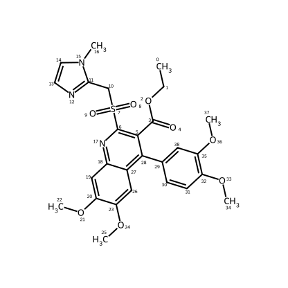 CCOC(=O)c1c(S(=O)(=O)Cc2nccn2C)nc2cc(OC)c(OC)cc2c1-c1ccc(OC)c(OC)c1